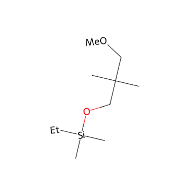 CC[Si](C)(C)OCC(C)(C)COC